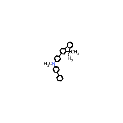 CN(c1ccc(-c2ccccc2)cc1)c1ccc(-c2ccc3c(c2)C(C)(C)c2ccccc2-3)cc1